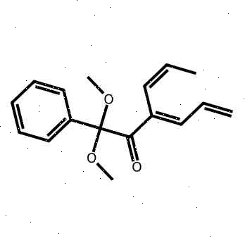 C=C/C=C(\C=C/C)C(=O)C(OC)(OC)c1ccccc1